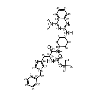 CN(C)c1nc(N[C@H]2CC[C@@H](NC(=O)[C@H](Cc3cn(Cc4ccccc4)cn3)NC(=O)OC(C)(C)C)CC2)nc2ccccc12